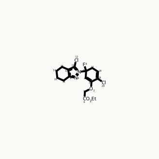 CCOC(=O)COC1=CC(F)(n2nc3c(c2Cl)CCCC3)CC=C1Cl